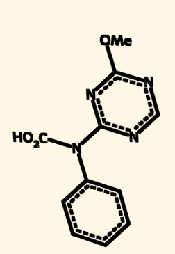 COc1ncnc(N(C(=O)O)c2ccccc2)n1